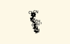 CC(Cn1ccc(-c2ccc(C#N)c(Cl)c2)n1)NC(=O)c1cn2cccnc2n1